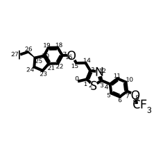 Cc1sc(-c2ccc(OC(F)(F)F)cc2)nc1CCOc1ccc2c(c1)CC[C@H]2CI